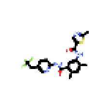 Cc1ncc(C(=O)Nc2cc(C(=O)Nc3ccc(CC(F)(F)F)cn3)c(C)cc2C)s1